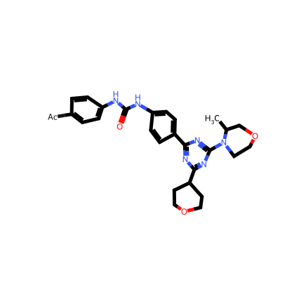 CC(=O)c1ccc(NC(=O)Nc2ccc(-c3nc(C4CCOCC4)nc(N4CCOCC4C)n3)cc2)cc1